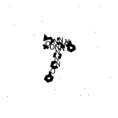 CC(C)(C)OC(=O)C(CC1CC1)n1cnc2c(-n3ncc4ccccc43)nc(N3CCN(c4ccc(OCc5ccccc5)cn4)CC3)nc21